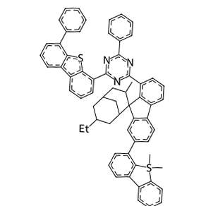 CCC1CC2CC(C)C3(c4cc(-c5cccc6c5S(C)(C)c5ccccc5-6)ccc4-c4cccc(-c5nc(-c6ccccc6)nc(-c6cccc7c6sc6c(-c8ccccc8)cccc67)n5)c43)C(C1)C2